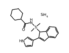 [CH3][Ti]([CH3])([NH]C(=O)C1CCCCC1)[CH]1C(c2cc[nH]c2)=Cc2ccccc21.[SiH4]